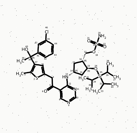 Cc1sc(CC(=O)c2cncnc2N[C@@H]2C[C@H](COS(N)(=O)=O)[C@@H](O[Si](C(C)C)(C(C)C)C(C)C)C2)cc1[C@](C)(O)c1cccc(Cl)c1